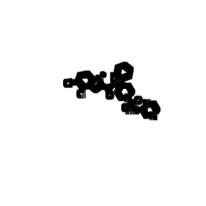 Cn1c(C(=O)NC2(c3ccccc3)CCN(S(=O)(=O)Nc3cnccn3)CC2)cc2c(Cl)c(Cl)ccc21